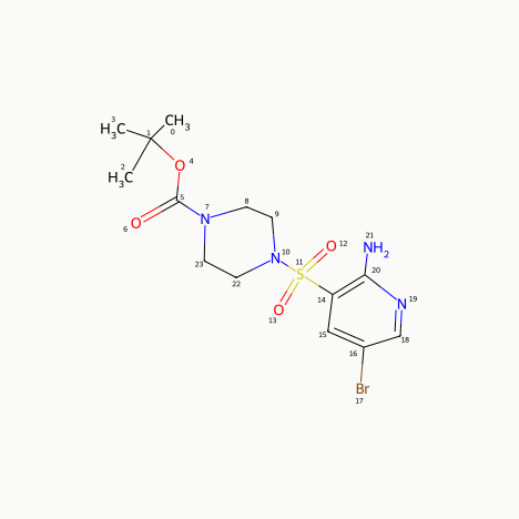 CC(C)(C)OC(=O)N1CCN(S(=O)(=O)c2cc(Br)cnc2N)CC1